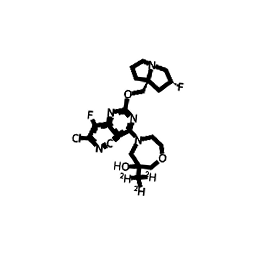 [2H]C([2H])([2H])C1(O)COCCN(c2nc(OC[C@@]34CCCN3C[C@H](F)C4)nc3c(F)c(Cl)ncc23)C1